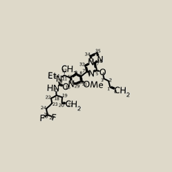 C=CCCOc1nc(-c2cc([C@@H](C)N(CC)C(=O)NC(CC=C)CCCC(F)F)ncc2OC)cn2ccnc12